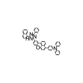 c1ccc(C2=NC(c3cccc4ccccc34)NC(c3ccc4c(c3)-c3cccc5c(-c6ccc(N(c7ccccc7)c7ccccc7)cc6)ccc(c35)O4)=N2)cc1